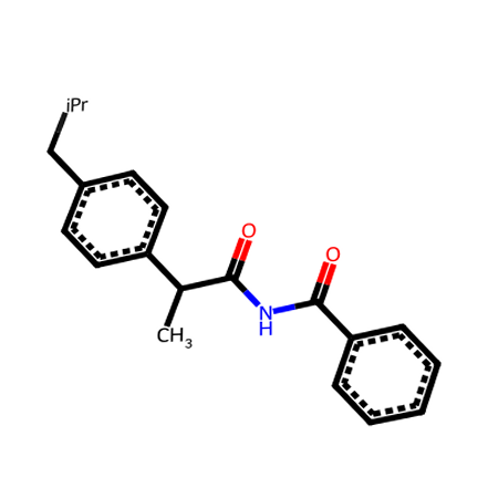 CC(C)Cc1ccc(C(C)C(=O)NC(=O)c2ccccc2)cc1